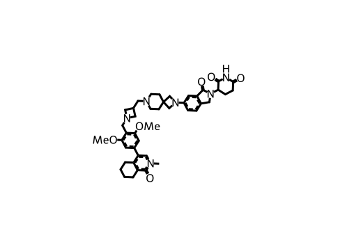 COc1cc(-c2cn(C)c(=O)c3c2CCCC3)cc(OC)c1CN1CC(CN2CCC3(CC2)CN(c2ccc4c(c2)C(=O)N(C2CCC(=O)NC2=O)C4)C3)C1